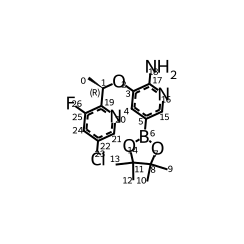 C[C@@H](Oc1cc(B2OC(C)(C)C(C)(C)O2)cnc1N)c1ncc(Cl)cc1F